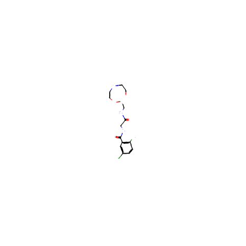 O=C(CNC(=O)c1cc(Cl)ccc1Br)NCB1OCCNCCO1